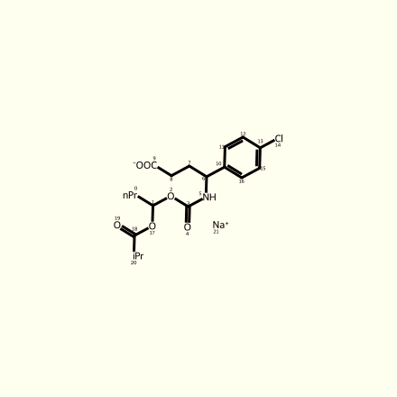 CCCC(OC(=O)NC(CCC(=O)[O-])c1ccc(Cl)cc1)OC(=O)C(C)C.[Na+]